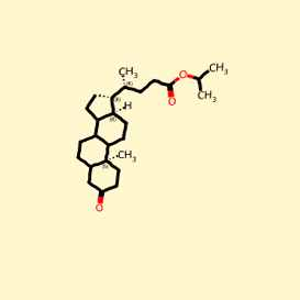 CC(C)OC(=O)CC[C@@H](C)[C@H]1CCC2C3CCC4CC(=O)CC[C@]4(C)C3CC[C@@H]21